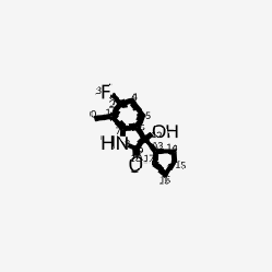 Cc1c(F)ccc2c1NC(=O)C2(O)C1CCCC1